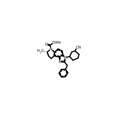 COC(=O)N1c2ccc3c(nc(Cc4ccccc4)n3C3CCCC(C#N)C3)c2CC[C@@H]1C